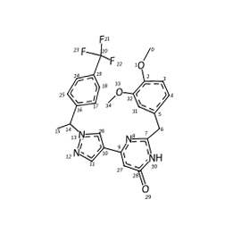 COc1ccc(Cc2nc(-c3cnn(C(C)c4ccc(C(F)(F)F)cc4)c3)cc(=O)[nH]2)cc1OC